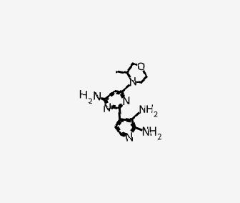 CC1COCCN1c1cc(N)nc(-c2ccnc(N)c2N)n1